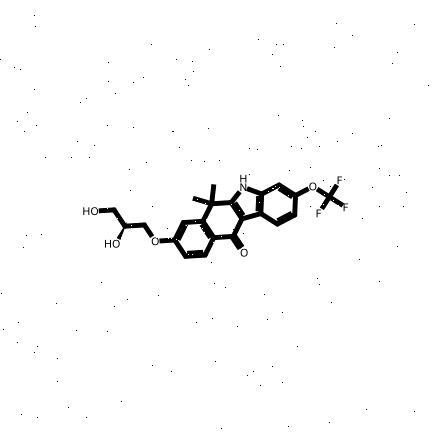 CC1(C)c2cc(OC[C@@H](O)CO)ccc2C(=O)c2c1[nH]c1cc(OC(F)(F)F)ccc21